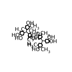 Cc1cc(C(c2cc(C)c(O)c(C)c2)c2ccc(O)c(O)c2)cc(C)c1O.Cc1cc(C(c2ccc(O)c(O)c2)c2cc(C)c(O)cc2C)c(C)cc1O